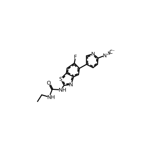 [C-]#[N+]c1ccc(-c2cc3nc(NC(=O)NCC)sc3cc2F)cn1